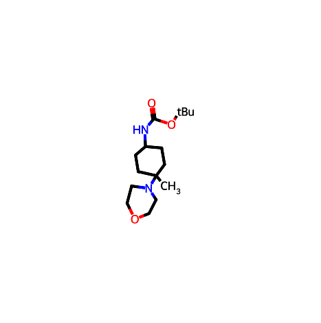 CC(C)(C)OC(=O)NC1CCC(C)(N2CCOCC2)CC1